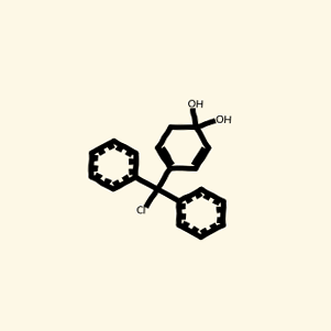 OC1(O)C=CC(C(Cl)(c2ccccc2)c2ccccc2)=CC1